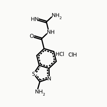 Cl.Cl.N=C(N)NC(=O)c1ccc2nc(N)sc2c1